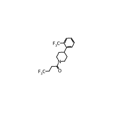 O=C(CCC(F)(F)F)N1CCC(c2ccccc2C(F)(F)F)CC1